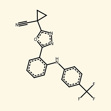 N#CC1(c2nnc(-c3ccccc3Nc3ccc(C(F)(F)F)cc3)o2)CC1